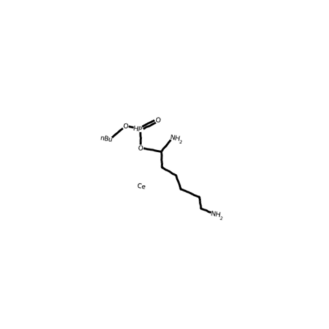 CCCCO[PH](=O)OC(N)CCCCCN.[Ce]